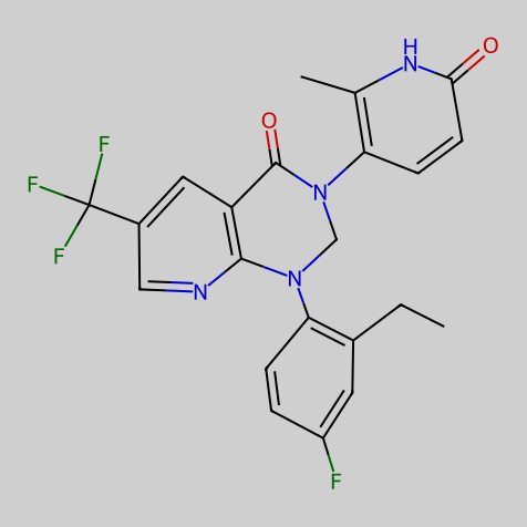 CCc1cc(F)ccc1N1CN(c2ccc(=O)[nH]c2C)C(=O)c2cc(C(F)(F)F)cnc21